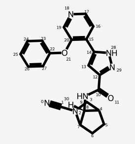 N#CN1CC2CCC1[C@@H]2NC(=O)c1cc(-c2ccncc2Oc2ccccc2)[nH]n1